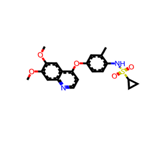 COc1cc2nccc(Oc3ccc(NS(=O)(=O)C4CC4)c(C)c3)c2cc1OC